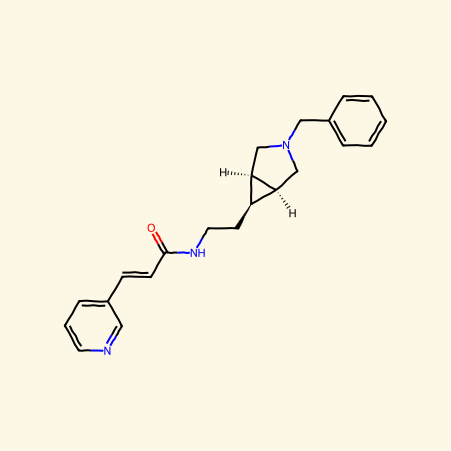 O=C(/C=C/c1cccnc1)NCC[C@H]1[C@H]2CN(Cc3ccccc3)C[C@@H]12